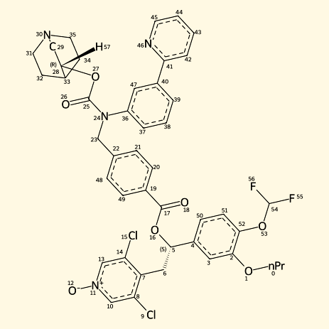 CCCOc1cc([C@H](Cc2c(Cl)c[n+]([O-])cc2Cl)OC(=O)c2ccc(CN(C(=O)O[C@H]3CN4CCC3CC4)c3cccc(-c4ccccn4)c3)cc2)ccc1OC(F)F